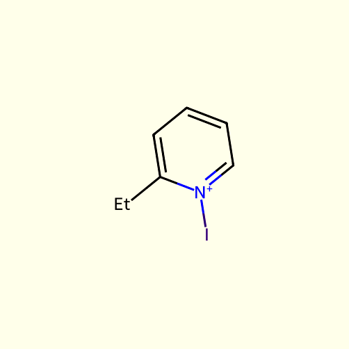 CCc1cccc[n+]1I